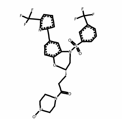 O=C(CC[C@H]1CN(S(=O)(=O)c2cccc(C(F)(F)F)c2)c2cc(-c3cccc(C(F)(F)F)n3)ccc2O1)N1CC[S+]([O-])CC1